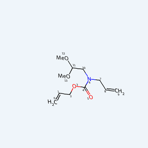 C=CCOC(=O)N(CC=C)CC(OC)OC